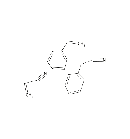 C=CC#N.C=Cc1ccccc1.N#CCc1ccccc1